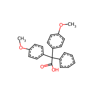 COc1ccc(C(C(=O)O)(c2ccccc2)c2ccc(OC)cc2)cc1